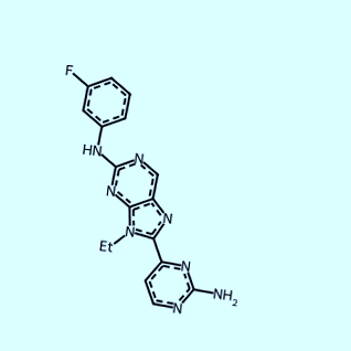 CCn1c(-c2ccnc(N)n2)nc2cnc(Nc3cccc(F)c3)nc21